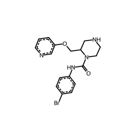 O=C(Nc1ccc(Br)cc1)N1CCNCC1COc1cccnc1